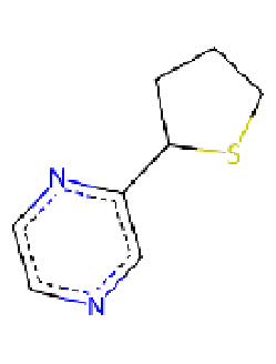 c1cnc(C2CCCS2)cn1